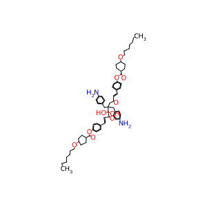 CCCCCCCOC1CCC(C(=O)Oc2ccc(C=CC(=O)CC(Cc3ccc(N)cc3)(Cc3ccc(N)cc3)C(O)(O)C(=O)C=Cc3ccc(OC(=O)C4CCC(OCCCCCCC)CC4)cc3)cc2)CC1